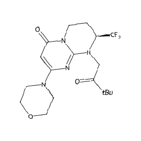 CC(C)(C)C(=O)CN1c2nc(N3CCOCC3)cc(=O)n2CC[C@H]1C(F)(F)F